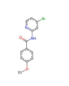 CCOc1ccc(C(=O)Nc2cc(Br)ccn2)cc1